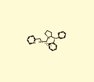 C[C@H](NCc1ccccn1)[C@H]1CCCC1P(c1ccccc1)c1ccccc1